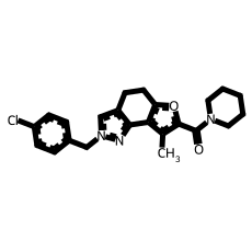 Cc1c(C(=O)N2CCCCC2)oc2c1-c1nn(Cc3ccc(Cl)cc3)cc1CC2